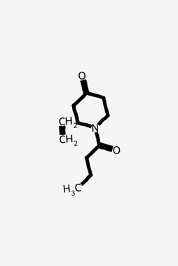 C=C.CCCC(=O)N1CCC(=O)CC1